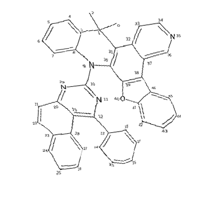 CC1(C)c2ccccc2N(c2nc(-c3ccccc3)c3c(ccc4ccccc43)n2)c2c1c1ccncc1c1c2oc2ccccc21